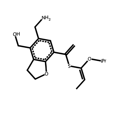 C=C(S/C(=C\C)OC(C)C)c1cc(CN)c(CO)c2c1OCC2